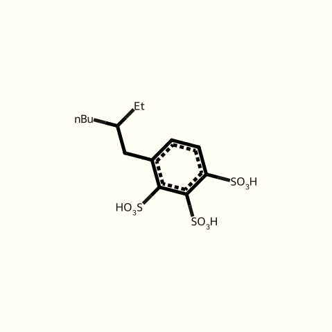 CCCCC(CC)Cc1ccc(S(=O)(=O)O)c(S(=O)(=O)O)c1S(=O)(=O)O